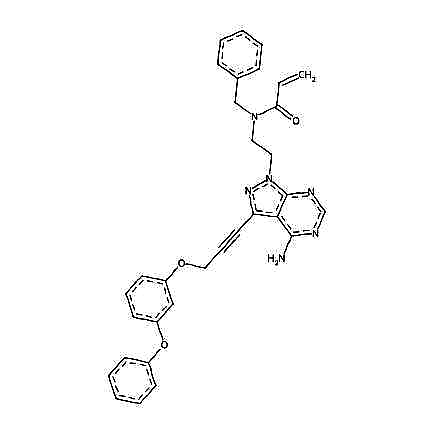 C=CC(=O)N(CCn1nc(C#CCOc2cccc(Oc3ccccc3)c2)c2c(N)ncnc21)Cc1ccccc1